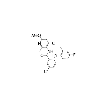 COc1cc(Cl)c(NC(=O)c2cc(Cl)ccc2Nc2ccc(F)cc2C)c(C)n1